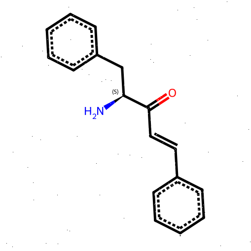 N[C@@H](Cc1ccccc1)C(=O)C=Cc1cc[c]cc1